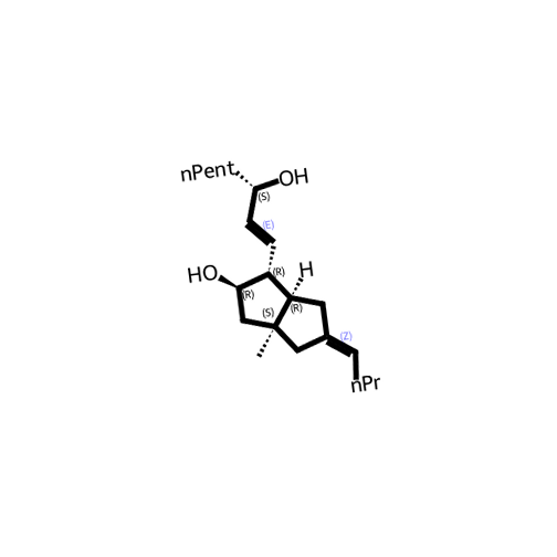 CCC/C=C1/C[C@@H]2[C@@H](/C=C/[C@@H](O)CCCCC)[C@H](O)C[C@]2(C)C1